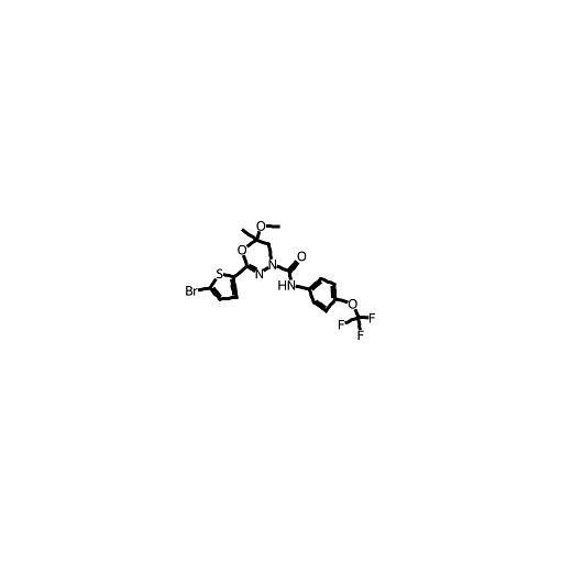 COC1(C)CN(C(=O)Nc2ccc(OC(F)(F)F)cc2)N=C(c2ccc(Br)s2)O1